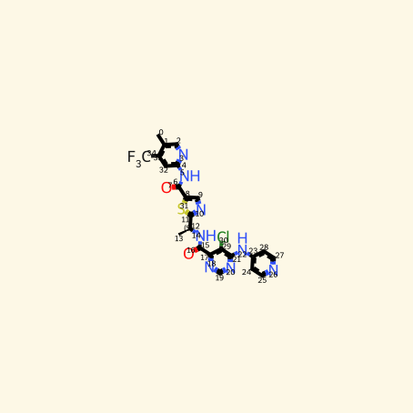 Cc1cnc(NC(=O)c2cnc([C@H](C)NC(=O)c3ncnc(Nc4ccncc4)c3Cl)s2)cc1C(F)(F)F